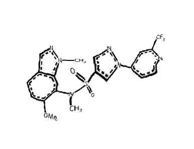 COc1ccc2cnn(C)c2c1N(C)S(=O)(=O)c1cnn(-c2ccnc(C(F)(F)F)c2)c1